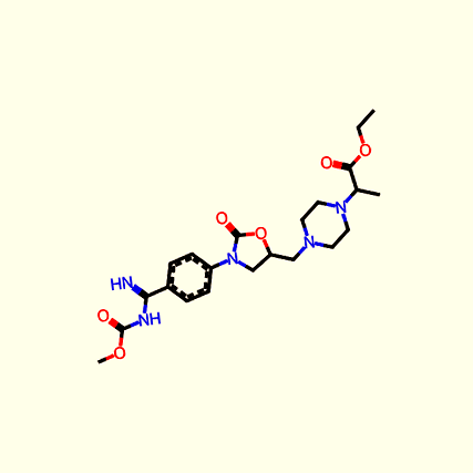 CCOC(=O)C(C)N1CCN(CC2CN(c3ccc(C(=N)NC(=O)OC)cc3)C(=O)O2)CC1